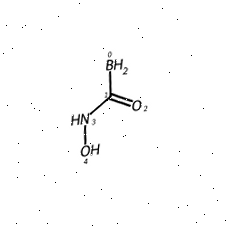 BC(=O)NO